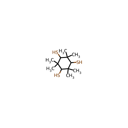 CC1(C)C(S)C(C)(C)C(S)C(C)(C)C1S